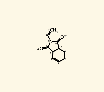 C=CN1C(=O)C2C=CCCC2C1=O